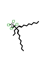 CCCCCCC/C=C/C(/C=C/CCCCCCC)(CCC)C(Cl)(Cl)[SiH](Cl)Cl